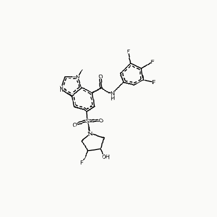 Cn1cnc2cc(S(=O)(=O)N3CC(O)C(F)C3)cc(C(=O)Nc3cc(F)c(F)c(F)c3)c21